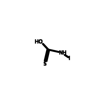 OC(=S)NI